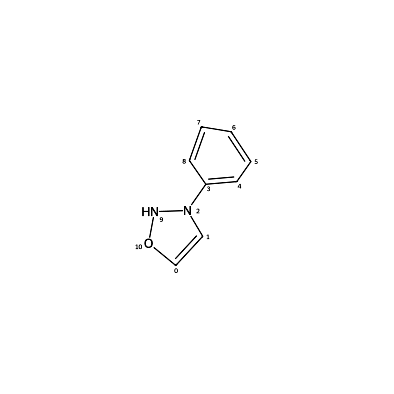 C1=CN(c2ccccc2)NO1